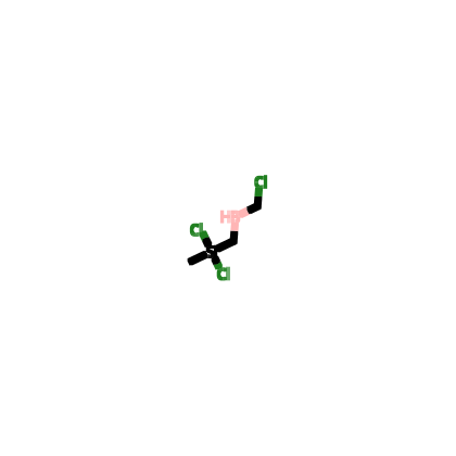 C[Si](Cl)(Cl)CBCCl